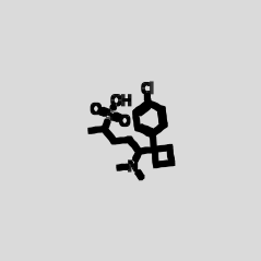 CC(CCC(N(C)C)C1(c2ccc(Cl)cc2)CCC1)S(=O)(=O)O